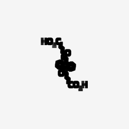 O=C(O)CCCCC(=O)OCC(c1ccccc1)c1ccccc1OC(=O)CCCCC(=O)O